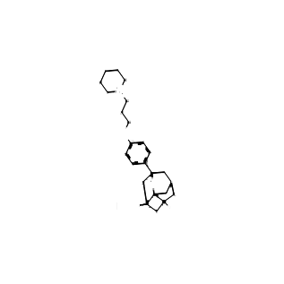 CC12CC3CC4(c5ccc(OCCCN6CCCCC6)cc5)CC(C)(C1)C2(C3)C4